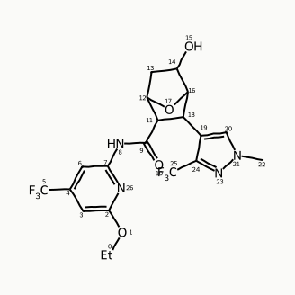 CCOc1cc(C(F)(F)F)cc(NC(=O)C2C3CC(O)C(O3)C2c2cn(C)nc2C(F)(F)F)n1